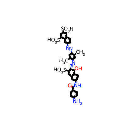 Cc1cc(/N=N/c2c(S(=O)(=O)O)cc3cc(NC(=O)c4ccc(N)cc4)ccc3c2O)c(C)cc1N=Nc1ccc2cc(S(=O)(=O)O)cc(S(=O)(=O)O)c2c1